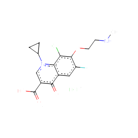 CNCCOc1c(F)cc2c(=O)c(C(=O)O)cn(C3CC3)c2c1Cl.Cl